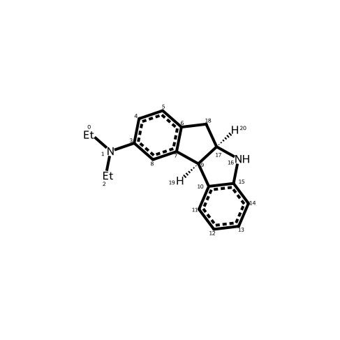 CCN(CC)c1ccc2c(c1)[C@@H]1c3ccccc3N[C@@H]1C2